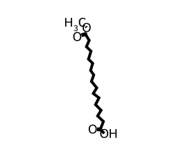 COC(=O)CCCCCCCCCCCCCCCC(=O)O